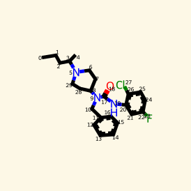 CCCC(C)N1CCC(N(Cc2ccccc2)C(=O)Nc2cc(F)ccc2Cl)CC1